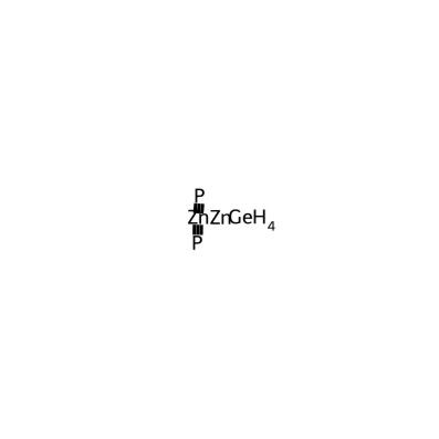 [GeH4].[P]#[Zn]#[P].[Zn]